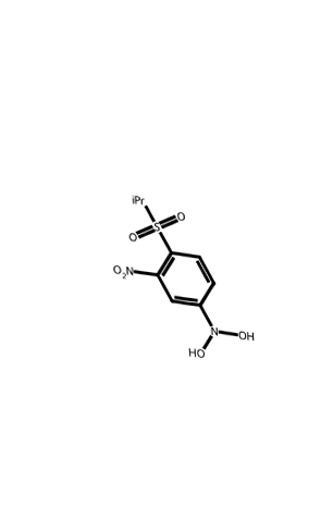 CC(C)S(=O)(=O)c1ccc(N(O)O)cc1[N+](=O)[O-]